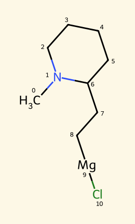 CN1CCCCC1C[CH2][Mg][Cl]